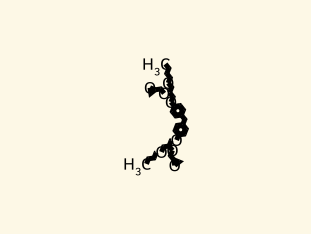 CCCCOCC(COc1ccc(Cc2ccc(OCC(COCCCC)OCC3CO3)cc2)cc1)OCC1CO1